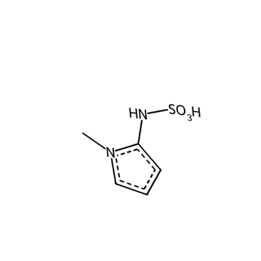 Cn1cccc1NS(=O)(=O)O